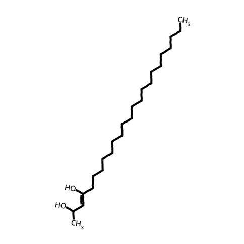 CCCCCCCCCCCCCCCCCCCC/C(O)=C/C(C)O